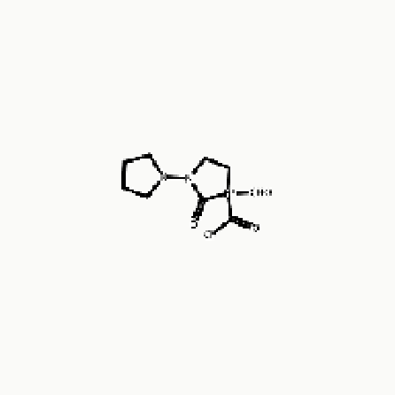 O=C[N+]1(C(=O)Cl)CCN(N2CCCC2)C1=O